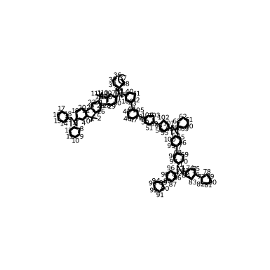 CC1(C)c2cc(N(c3ccccc3)c3ccccc3)ccc2-c2cc3c(cc21)-c1ccc(N(c2ccccc2)c2cccc(-c4cccc(-c5ccc(-c6ccc(N(c7ccccc7)c7ccc(-c8ccc(N(c9ccc(-c%10ccccc%10)cc9)c9ccc(-c%10ccccc%10)cc9)cc8)cc7)cc6)cc5)c4)c2)cc1C3(C)C